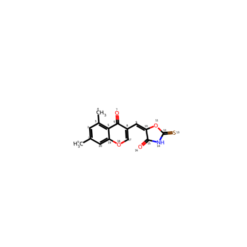 Cc1cc(C)c2c(=O)c(/C=C3/OC(=S)NC3=O)coc2c1